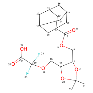 CC1(C)OC(COC(=O)C23CC4CC(CC(C4)C2)C3)C(COC(F)(F)C(=O)O)O1